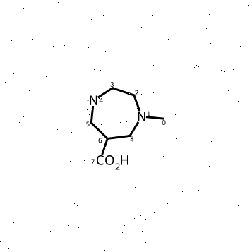 CN1CC[N]CC(C(=O)O)C1